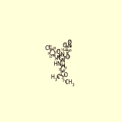 CCc1oc2ccc(NC3NC(=O)N(CC4(C(=O)N=O)CC4)C(=O)N3Cc3ccc(Cl)cc3)cc2c1C